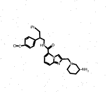 CC(C)CC(CNC(=O)c1cccc2nc(CN3CCC[C@@H](N)C3)cn12)c1ccc(CCl)cc1